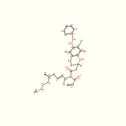 COC(=O)C(C(=O)CC1(C)CCc2c(C)c(OCc3ccccc3)c(C)c(C)c2O1)C(C)C=CC[C@H](C)CCCC(C)C